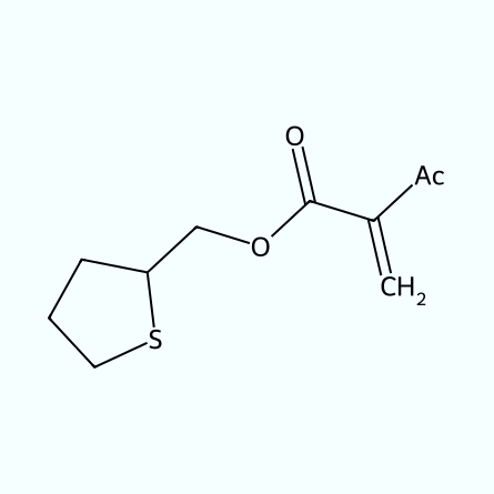 C=C(C(C)=O)C(=O)OCC1CCCS1